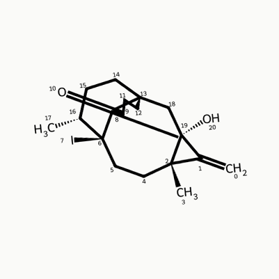 C=C1[C@]2(C)CC[C@@]3(I)C4C(=O)CC[C@@]4(CC[C@H]3C)C[C@@]12O